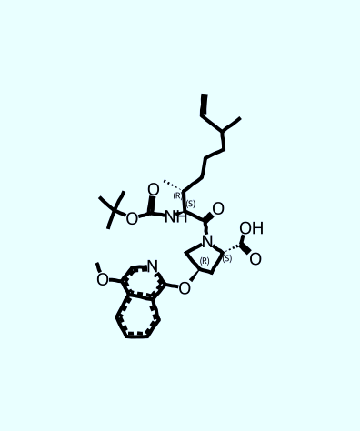 C=CC(C)CCC[C@@H](C)[C@H](NC(=O)OC(C)(C)C)C(=O)N1C[C@H](Oc2ncc(OC)c3ccccc23)C[C@H]1C(=O)O